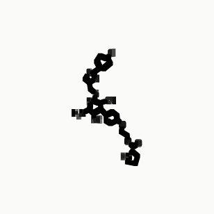 [C-]#[N+]c1c(N)nc(SCc2csc(-c3ccc(Cl)cc3)n2)c(C#N)c1-c1ccc(OCCOC(=O)[C@@H]2CCCN2)cc1